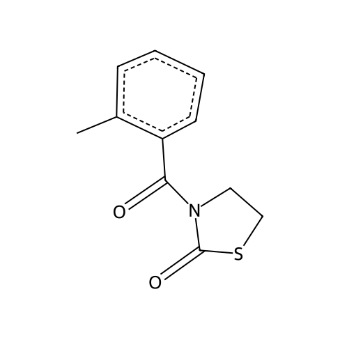 Cc1ccccc1C(=O)N1CCSC1=O